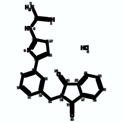 Cl.N=C(N)Nc1nc(-c2cccc(CN3C(=O)c4ccccc4C3=O)c2)cs1